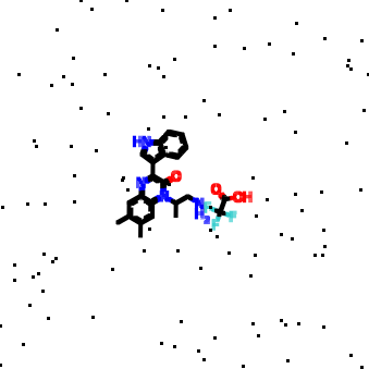 Cc1cc2nc(-c3c[nH]c4ccccc34)c(=O)n(C(C)CN)c2cc1C.O=C(O)C(F)(F)F